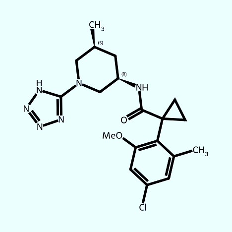 COc1cc(Cl)cc(C)c1C1(C(=O)N[C@@H]2C[C@H](C)CN(c3nnn[nH]3)C2)CC1